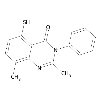 Cc1ccc(S)c2c(=O)n(-c3ccccc3)c(C)nc12